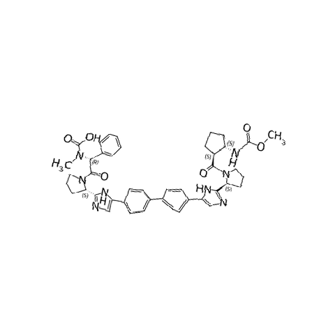 COC(=O)N[C@H]1CCC[C@@H]1C(=O)N1CCC[C@H]1c1ncc(-c2ccc(-c3ccc(-c4cnc([C@@H]5CCCN5C(=O)[C@@H](c5ccccc5)N(C)C(=O)O)[nH]4)cc3)cc2)[nH]1